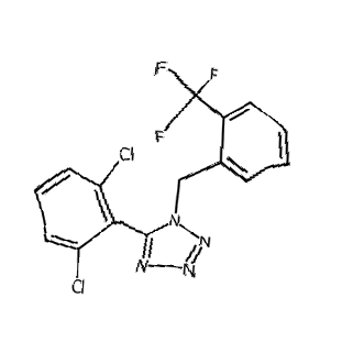 FC(F)(F)c1ccccc1Cn1nnnc1-c1c(Cl)cccc1Cl